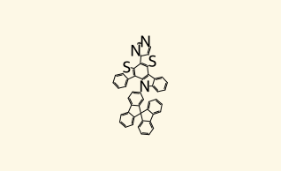 c1ccc2c(c1)-c1ccccc1C21c2ccccc2-c2ccc(-n3c4ccccc4c4c5sc6cncnc6c5c5sc6ccccc6c5c43)cc21